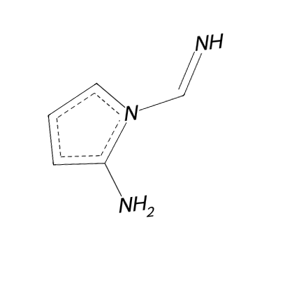 N=Cn1cccc1N